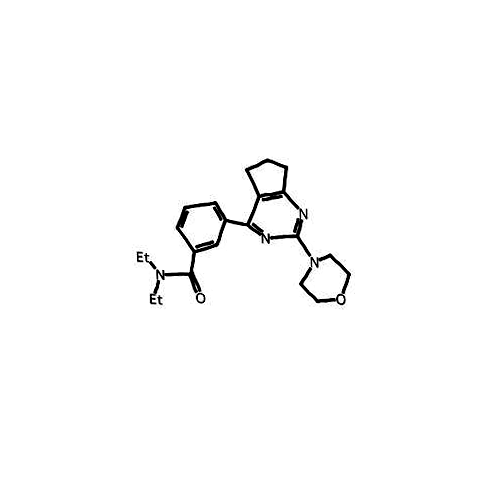 CCN(CC)C(=O)c1cccc(-c2nc(N3CCOCC3)nc3c2CCC3)c1